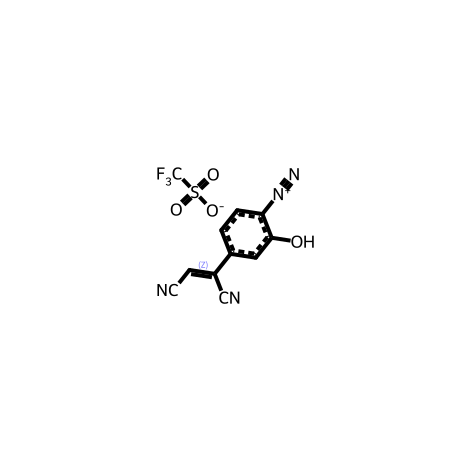 N#C/C=C(\C#N)c1ccc([N+]#N)c(O)c1.O=S(=O)([O-])C(F)(F)F